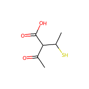 CC(=O)C(C(=O)O)C(C)S